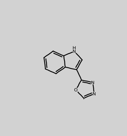 [c]1nnc(-c2c[nH]c3ccccc23)o1